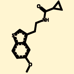 COc1ccc2scc(CCNC(=O)C3CC3)c2c1